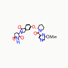 COc1cncc(C(=O)N2CCCC[C@H]2COc2ccc3c(c2)CN(C2CCC(=O)NC2=O)C3=O)n1